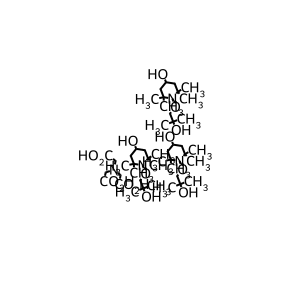 CC(C)(O)CON1C(C)(C)CC(O)CC1(C)C.CC(C)(O)CON1C(C)(C)CC(O)CC1(C)C.CC(C)(O)CON1C(C)(C)CC(O)CC1(C)C.O=C(O)CN(CC(=O)O)CC(=O)O